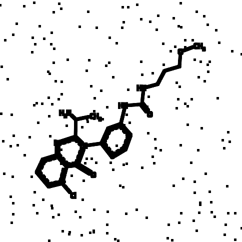 COCCCNC(=O)Nc1cccc(-n2c(C(C)N)nc3cccc(Cl)c3c2=O)c1